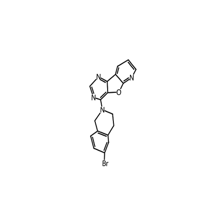 Brc1ccc2c(c1)CCN(c1ncnc3c1oc1ncccc13)C2